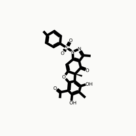 CC(=O)c1c(O)c(C)c(O)c2c1OC1=Cc3c(c(C)nn3S(=O)(=O)c3ccc(C)cc3)C(=O)[C@@]12C